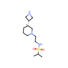 CC(C)S(=O)(=O)NCCN1CCC[C@H](C2CNC2)C1